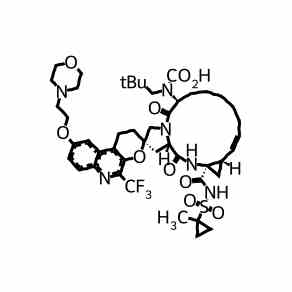 CC(C)(C)CN(C(=O)O)[C@H]1CCCCC/C=C\[C@@H]2C[C@@]2(C(=O)NS(=O)(=O)C2(C)CC2)NC(=O)[C@@H]2C[C@]3(CCc4c(c(C(F)(F)F)nc5ccc(OCCN6CCOCC6)cc45)O3)CN2C1=O